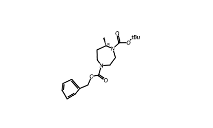 C[C@@H]1CCN(C(=O)OCc2ccccc2)CCN1C(=O)OC(C)(C)C